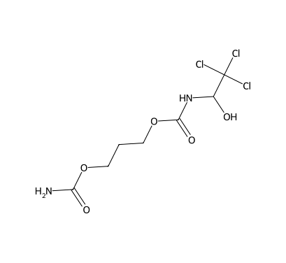 NC(=O)OCCCOC(=O)NC(O)C(Cl)(Cl)Cl